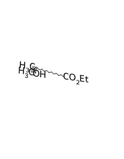 CCOC(=O)CCCCCCCCCCCC[C@@H](C)[C@H](C)O